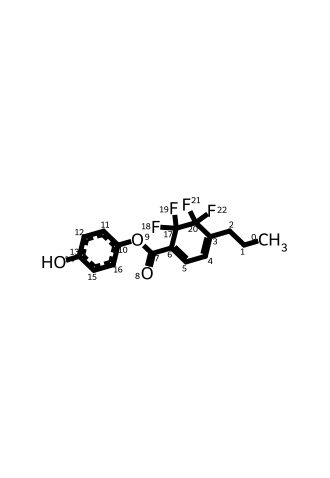 CCCC1=CC=C(C(=O)Oc2ccc(O)cc2)C(F)(F)C1(F)F